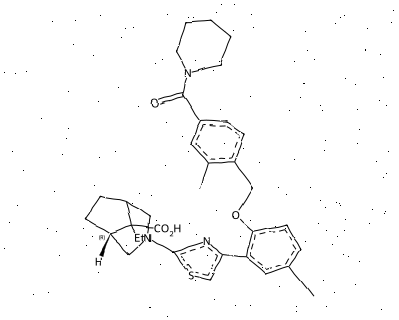 CCC1(C(=O)O)C2CC[C@H]1CN(c1nc(-c3cc(C)ccc3OCc3ccc(C(=O)N4CCCCC4)cc3C)cs1)C2